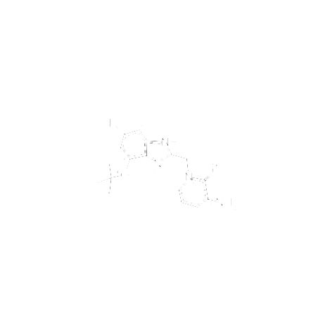 CC(C)(C)Oc1cc(F)cc2[nH]c(Cn3cccc(N)c3=O)nc12